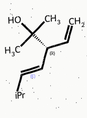 C=C[C@H](/C=C/C(C)C)C(C)(C)O